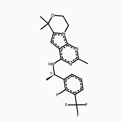 Cc1nc(N[C@H](C)c2cccc(C(F)(F)F)c2F)c2cc3n(c2n1)CCOC3(C)C